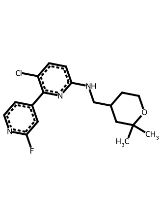 CC1(C)CC(CNc2ccc(Cl)c(-c3ccnc(F)c3)n2)CCO1